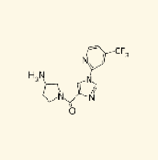 NC1CCN(C(=O)c2cn(-c3cc(C(F)(F)F)ccn3)cn2)C1